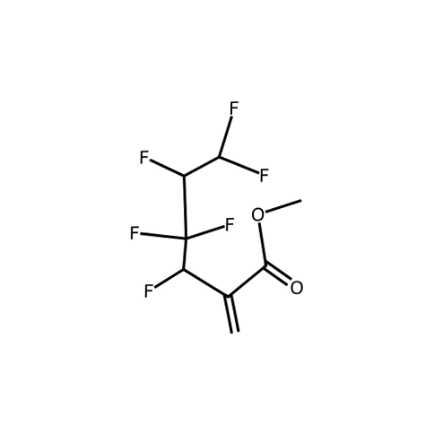 C=C(C(=O)OC)C(F)C(F)(F)C(F)C(F)F